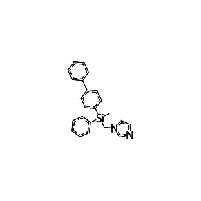 C[Si](Cn1ccnc1)(c1ccccc1)c1ccc(-c2ccccc2)cc1